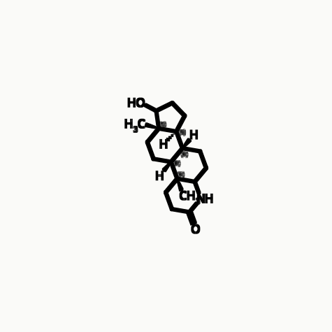 C[C@]12CCC(=O)NC1CC[C@@H]1[C@H]2CC[C@]2(C)C(O)CC[C@@H]12